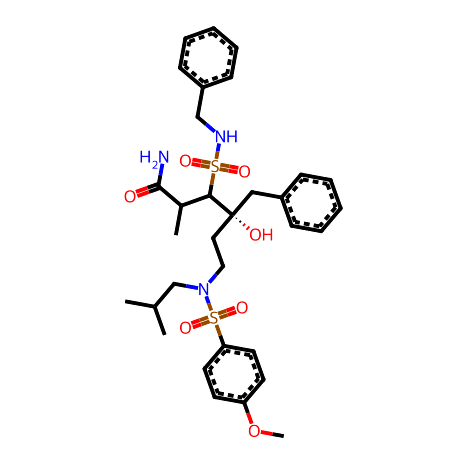 COc1ccc(S(=O)(=O)N(CC[C@](O)(Cc2ccccc2)C(C(C)C(N)=O)S(=O)(=O)NCc2ccccc2)CC(C)C)cc1